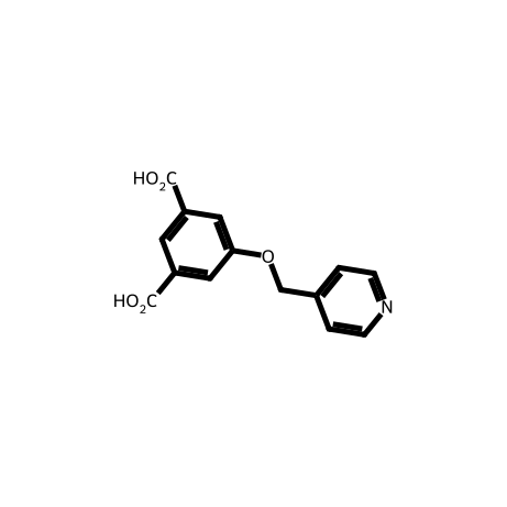 O=C(O)c1cc(OCc2ccncc2)cc(C(=O)O)c1